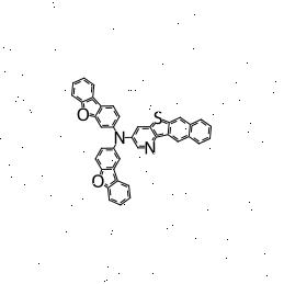 c1ccc2cc3c(cc2c1)sc1cc(N(c2ccc4c(c2)oc2ccccc24)c2ccc4oc5ccccc5c4c2)cnc13